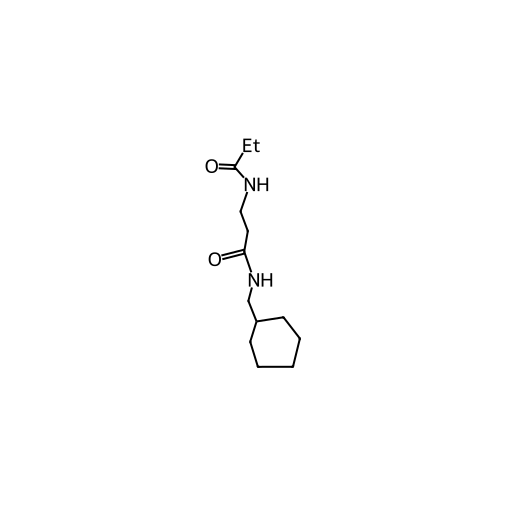 CCC(=O)NCCC(=O)NCC1CCCCC1